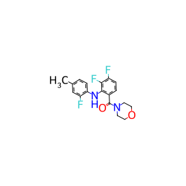 Cc1ccc(Nc2c(C(=O)N3CCOCC3)ccc(F)c2F)c(F)c1